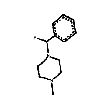 CN1CCN(C(F)c2ccccc2)CC1